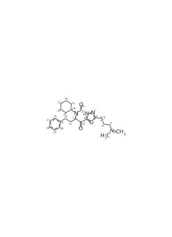 CN(C)CCSc1nnc(C(=O)C(CCc2ccccc2)N(C=O)C2CCCCC2)o1